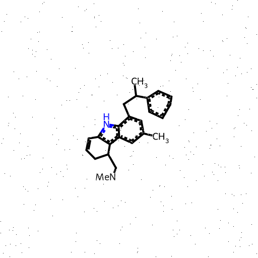 CNCC1CC=Cc2[nH]c3c(CC(C)c4ccccc4)cc(C)cc3c21